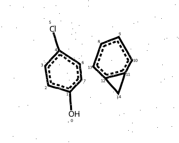 Oc1ccc(Cl)cc1.c1ccc2c(c1)C2